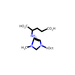 CCCCCCCCN1C=CN(C)C1.NC(CCC(=O)O)C(=O)O